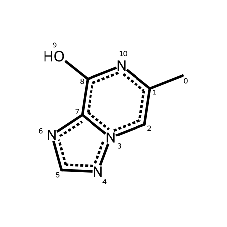 Cc1cn2ncnc2c(O)n1